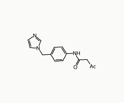 CC(=O)CC(=O)Nc1ccc(Cn2ccnc2)cc1